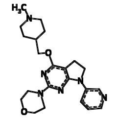 CN1CCC(COc2nc(N3CCOCC3)nc3c2CCN3c2cccnc2)CC1